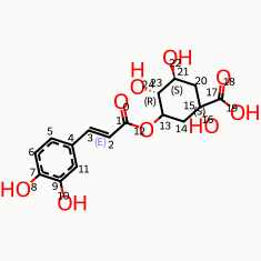 O=C(/C=C/c1ccc(O)c(O)c1)OC1C[C@](O)(C(=O)O)C[C@H](O)[C@H]1O